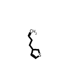 C=CCCC1C=CSC1